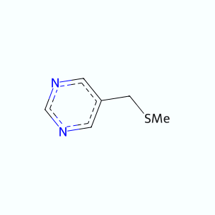 [CH2]SCc1cncnc1